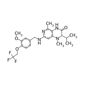 COc1cc(CNc2cc3c(c(C)n2)NC(=O)C(C(C)C)N3C)ccc1OCC(F)(F)F